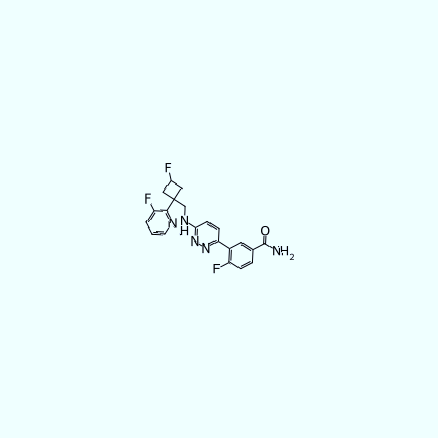 NC(=O)c1ccc(F)c(-c2ccc(NCC3(c4ncccc4F)CC(F)C3)nn2)c1